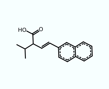 CC(C)C(/C=C/c1ccc2ccccc2c1)C(=O)O